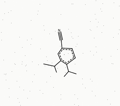 C[C](C)c1cc(C#N)ccc1C(C)C